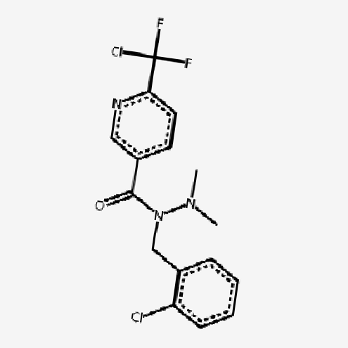 CN(C)N(Cc1ccccc1Cl)C(=O)c1ccc(C(F)(F)Cl)nc1